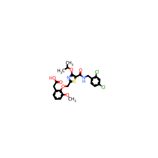 COc1cccc(CC(=O)O)c1OCc1nc(OC(C)C)c(C(=O)NCc2ccc(Cl)cc2Cl)s1